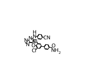 Cn1cnc2c(Oc3c(Cl)cc(-c4ccc(C(N)=O)cc4)cc3Cl)nc(Nc3ccc(C#N)cc3)nc21